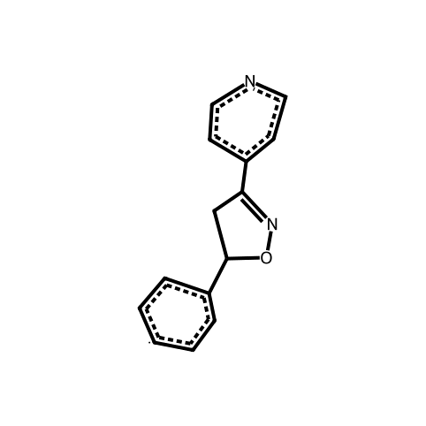 [c]1ccc(C2CC(c3ccncc3)=NO2)cc1